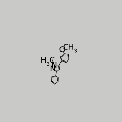 COc1cccc(-c2cc(-c3ccccc3)nn2C)c1